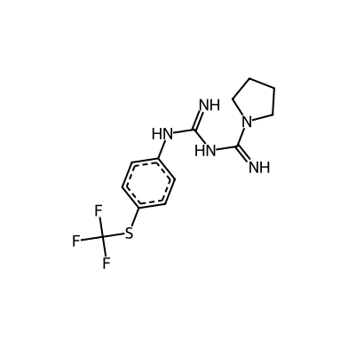 N=C(NC(=N)N1CCCC1)Nc1ccc(SC(F)(F)F)cc1